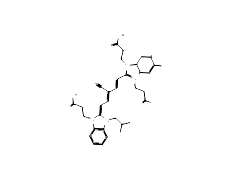 CC(C)CN1\C(=C/C=C(C#N)/C=C/C2=[N+](CCC(=O)O)C3C=C(Cl)C(Cl)CC3N2CCC(=O)O)N(CCC(=O)O)c2ccccc21